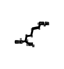 CCOC(=O)/C=C/CC[C@@H](N)C=O